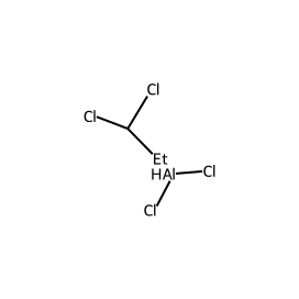 CCC(Cl)Cl.[Cl][AlH][Cl]